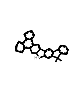 CC1(C)c2ccccc2-c2cc3c(cc21)NC1Cc2c(c4ccccc4c4ccccc24)C=C31